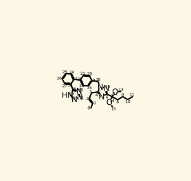 C/C=C/Cc1nc(C(CCCC)(OC)OC)nn1Cc1ccc(-c2ccccc2-c2nnn[nH]2)cc1